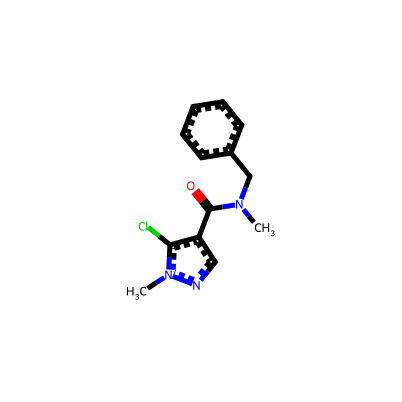 CN(Cc1ccccc1)C(=O)c1cnn(C)c1Cl